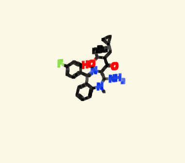 CCCCC(O)C(CC1CC1)C(=O)C1N=C(c2ccc(F)cc2)c2ccccc2N(C)C1N